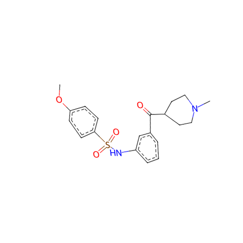 COc1ccc(S(=O)(=O)Nc2cccc(C(=O)C3CCN(C)CC3)c2)cc1